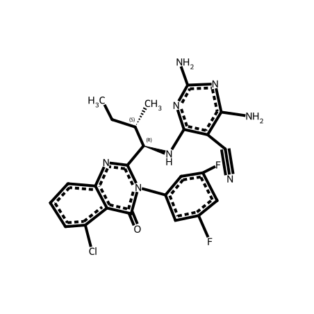 CC[C@H](C)[C@@H](Nc1nc(N)nc(N)c1C#N)c1nc2cccc(Cl)c2c(=O)n1-c1cc(F)cc(F)c1